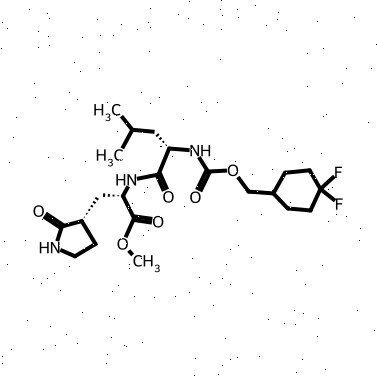 COC(=O)[C@H](C[C@@H]1CCNC1=O)NC(=O)[C@H](CC(C)C)NC(=O)OCC1CCC(F)(F)CC1